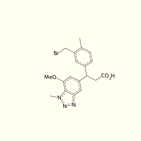 COc1cc(C(CC(=O)O)c2ccc(C)c(CBr)c2)cc2nnn(C)c12